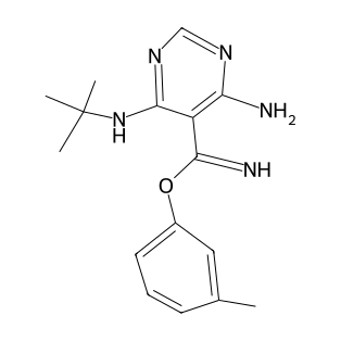 Cc1cccc(OC(=N)c2c(N)ncnc2NC(C)(C)C)c1